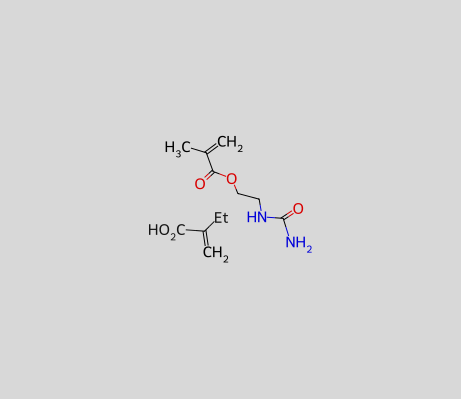 C=C(C)C(=O)OCCNC(N)=O.C=C(CC)C(=O)O